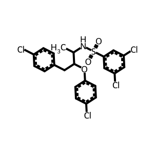 CC(NS(=O)(=O)c1cc(Cl)cc(Cl)c1)C(Cc1ccc(Cl)cc1)Oc1ccc(Cl)cc1